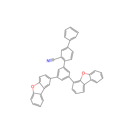 N#Cc1cc(-c2ccccc2)ccc1-c1cc(-c2ccc3oc4ccccc4c3c2)cc(-c2cccc3c2oc2ccccc23)c1